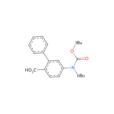 CCCCN(C(=O)OC(C)(C)C)c1ccc(C(=O)O)c(-c2ccccc2)c1